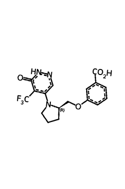 O=C(O)c1cccc(OC[C@H]2CCCN2c2cn[nH]c(=O)c2C(F)(F)F)c1